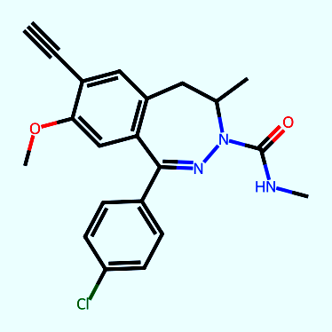 C#Cc1cc2c(cc1OC)C(c1ccc(Cl)cc1)=NN(C(=O)NC)C(C)C2